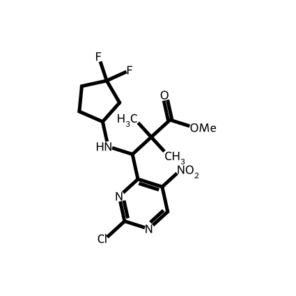 COC(=O)C(C)(C)C(NC1CCC(F)(F)C1)c1nc(Cl)ncc1[N+](=O)[O-]